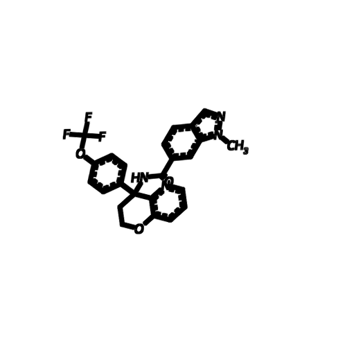 Cn1ncc2ccc(C(=O)NC3(c4ccc(OC(F)(F)F)cc4)CCOc4cccnc43)cc21